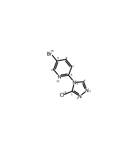 Clc1nncn1-c1ccc(Br)cn1